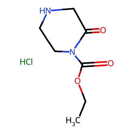 CCOC(=O)N1CCNCC1=O.Cl